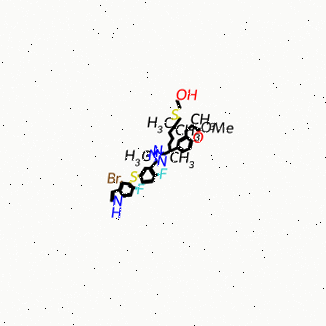 COC(=O)C(C)Cc1cccc(C(C)(CCCC(C)(C)CSCCO)c2nc(-c3cc(Sc4c(F)cc5[nH]ccc5c4Br)ccc3F)n(C)n2)c1